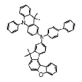 CC1(C)c2ccccc2N(c2ccccc2)c2ccc(N(c3ccc(-c4ccccc4)cc3)c3ccc4c(c3)C(C)(C)c3ccc5oc6ccccc6c5c3-4)cc21